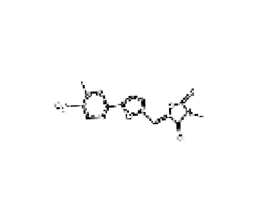 Cc1cc(-c2ccc(/C=C3\SC(=S)N(C)C3=O)o2)ccc1[N+](=O)[O-]